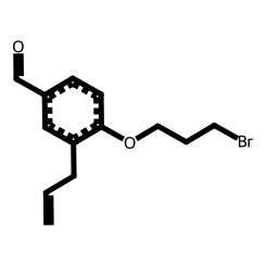 C=CCc1cc(C=O)ccc1OCCCBr